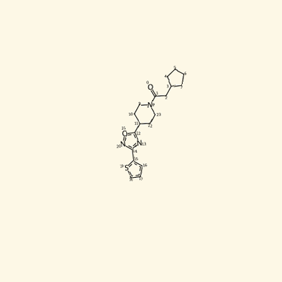 O=C(CC1CCCC1)N1CCC(c2nc(-c3cccs3)no2)CC1